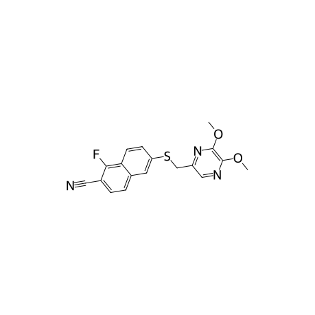 COc1ncc(CSc2ccc3c(F)c(C#N)ccc3c2)nc1OC